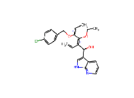 C=C/C(=C(OCC)\C(=C/C)OCc1ccc(Cl)cc1)C(O)c1c[nH]c2ncccc12